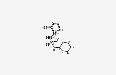 O=c1[c]cccn1NS(=O)(=O)NC1CCCCC1